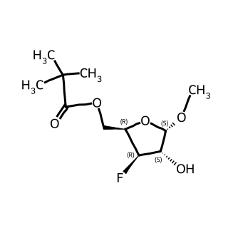 CO[C@H]1O[C@H](COC(=O)C(C)(C)C)[C@H](F)[C@H]1O